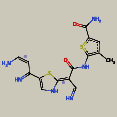 Cc1cc(C(N)=O)sc1NC(=O)/C(C=N)=C1/NC=C(C(=N)/C=C\N)S1